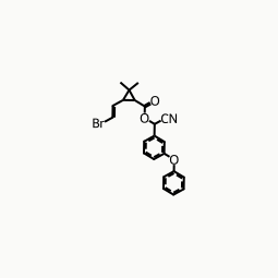 CC1(C)C(C=CBr)C1C(=O)OC(C#N)c1cccc(Oc2ccccc2)c1